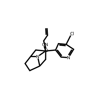 C=CCON1C2CCC1CC(C#N)(c1cncc(Cl)c1)C2